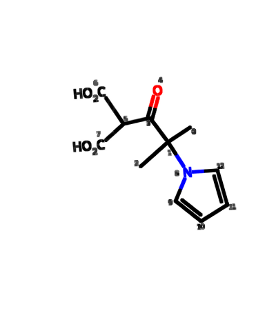 CC(C)(C(=O)C(C(=O)O)C(=O)O)n1cccc1